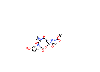 CC(C)[C@@H]1NC(=O)/C=C/[C@@H](NC(=O)[C@H](C)NC(=O)OC(C)(C)C)COC(=O)[C@H](Cc2ccc(O)cc2)NC1=O